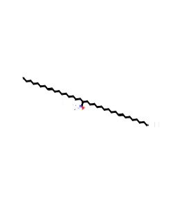 CCCCCCCCC=CCCCCCCCCCC(CCCCCCCCC=CCCCCCCCC)C(O)N(C)C